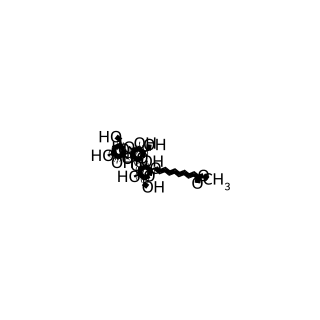 COC(=O)CCCCCCCCO[C@H]1O[C@H](CO)[C@@H](O)[C@H](O[C@@H]2O[C@H](CO)[C@@H](O)[C@H](O)[C@H]2O[C@@H]2O[C@H](CO)C[C@H](O)[C@H]2O)[C@H]1O